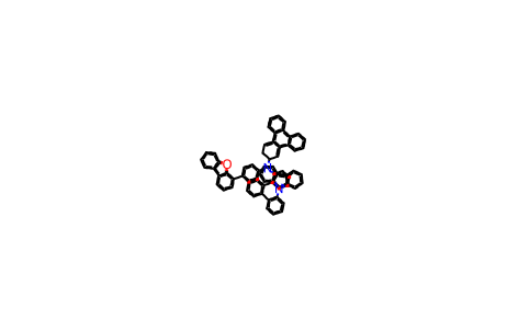 C1=c2c(c3ccccc3c3ccccc23)=CC(N(c2ccc(-c3cccc4c3oc3ccccc34)cc2)c2ccccc2-c2ccccc2-c2ccccc2-n2c3ccccc3c3ccccc32)C1